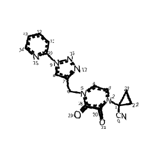 N#CC1(n2ccn(Cc3cn(-c4ccccn4)nn3)c(=O)c2=O)CC1